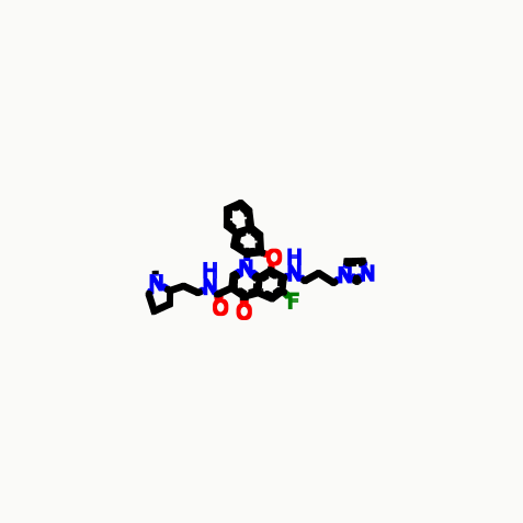 CN1CCCC1CCNC(=O)c1cn2c3c(c(NCCCn4ccnc4)c(F)cc3c1=O)Oc1cc3ccccc3cc1-2